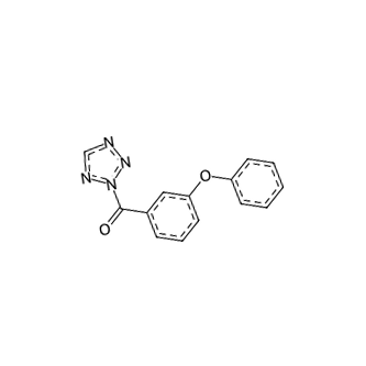 O=C(c1cccc(Oc2ccccc2)c1)n1ncnn1